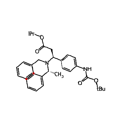 CC(C)OC(=O)C[C@@H](c1ccc(NC(=O)OC(C)(C)C)cc1)N(Cc1ccccc1)[C@H](C)c1ccccc1